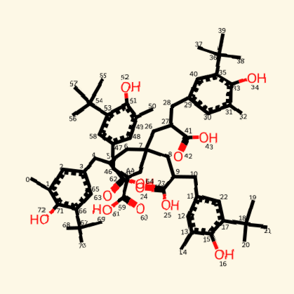 Cc1cc(CC(CC(CC(Cc2cc(C)c(O)c(C(C)(C)C)c2)C(=O)O)(CC(Cc2cc(C)c(O)c(C(C)(C)C)c2)C(=O)O)CC(Cc2cc(C)c(O)c(C(C)(C)C)c2)C(=O)O)C(=O)O)cc(C(C)(C)C)c1O